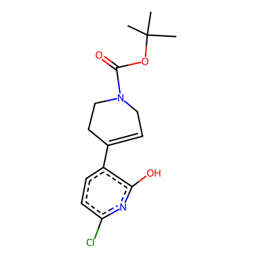 CC(C)(C)OC(=O)N1CC=C(c2ccc(Cl)nc2O)CC1